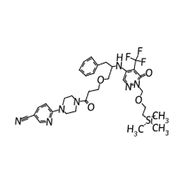 C[Si](C)(C)CCOCn1ncc(NC(COCCC(=O)N2CCN(c3ccc(C#N)cn3)CC2)Cc2ccccc2)c(C(F)(F)F)c1=O